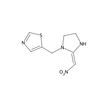 O=[N+]([O-])C=C1NCCN1Cc1cncs1